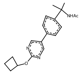 CC(=O)NC(C)(C)c1ccc(-c2cnc(OC3CCC3)nc2)cc1